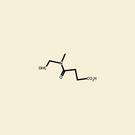 CN(CC=O)C(=O)CCC(=O)O